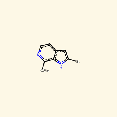 CCc1cc2ccnc(OC)c2[nH]1